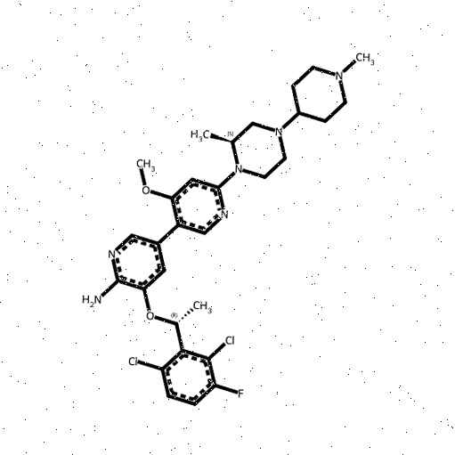 COc1cc(N2CCN(C3CCN(C)CC3)C[C@@H]2C)ncc1-c1cnc(N)c(O[C@H](C)c2c(Cl)ccc(F)c2Cl)c1